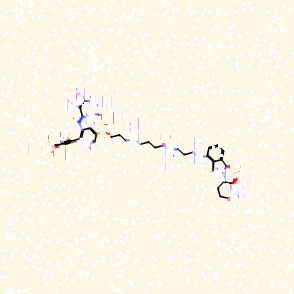 CCn1c(-c2nonc2N)nc2c(C#CC(C)(C)O)ncc(OCCCNCCCC(=O)NCCCNc3cccc4c3C(=O)N(C3CCC(=O)NC3=O)C4=O)c21